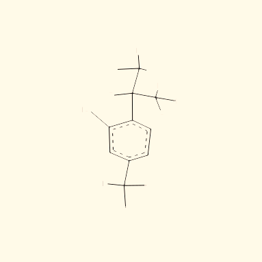 FC(F)(F)c1[c]c(Br)c(C(F)(C(F)(F)F)C(F)(F)F)cc1